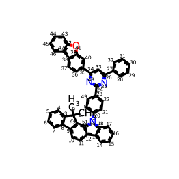 CC1(C)c2ccccc2-c2ccc3c4ccccc4n(-c4ccc(-c5nc(-c6ccccc6)cc(-c6ccc7c(c6)oc6ccccc67)n5)cc4)c3c21